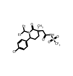 CCC(CC)N1C(=O)[C@@](C)(CC(=O)NS(=O)(=O)C(F)(F)F)CCC1c1ccc(Cl)cc1